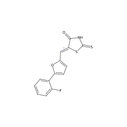 O=C1NC(=S)S/C1=C\c1ccc(-c2ccccc2F)o1